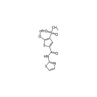 CCCOc1sc(C(=O)Nc2nccs2)cc1S(C)(=O)=O